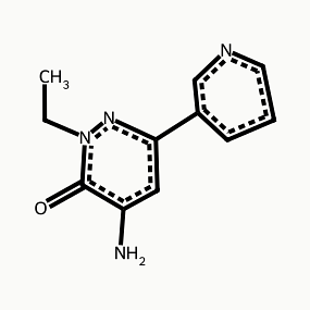 CCn1nc(-c2cccnc2)cc(N)c1=O